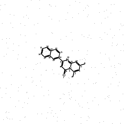 Cc1cc(C)n2c(=O)cc(-c3ccc4ccccc4c3)nc2c1